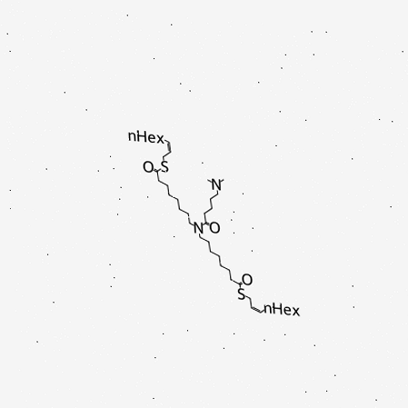 CCCCCC/C=C\CSC(=O)CCCCCCCN(CCCCCCCC(=O)SC/C=C\CCCCCC)C(=O)CCCCN(C)C